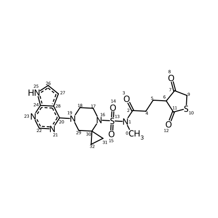 CN(C(=O)CCC1C(=O)CSC1=O)S(=O)(=O)N1CCN(c2ncnc3[nH]ccc23)CC12CC2